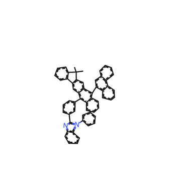 CC1(C)c2ccccc2-c2cc3c(-c4cccc(-c5nc6ccccc6n5-c5ccccc5)c4)c4ccccc4c(-c4cc5ccccc5c5ccccc45)c3cc21